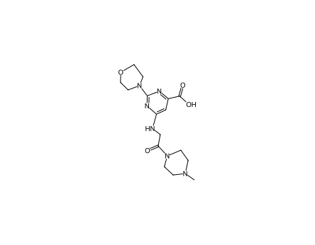 CN1CCN(C(=O)CNc2cc(C(=O)O)nc(N3CCOCC3)n2)CC1